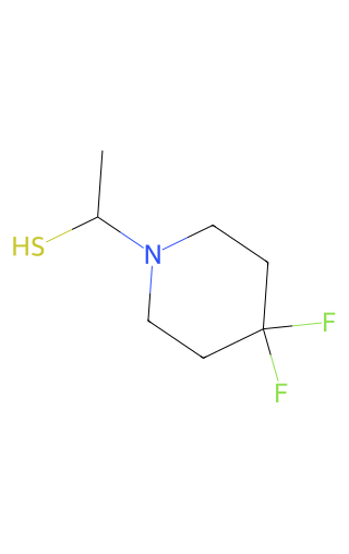 CC(S)N1CCC(F)(F)CC1